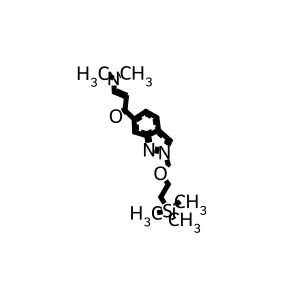 CN(C)/C=C/C(=O)c1ccc2cn(COCC[Si](C)(C)C)nc2c1